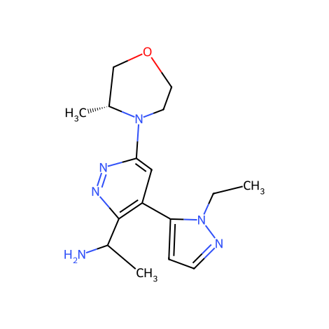 CCn1nccc1-c1cc(N2CCOC[C@H]2C)nnc1C(C)N